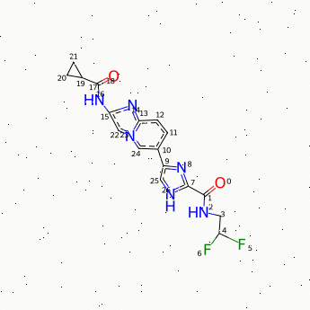 O=C(NCC(F)F)c1nc(-c2ccc3nc(NC(=O)C4CC4)cn3c2)c[nH]1